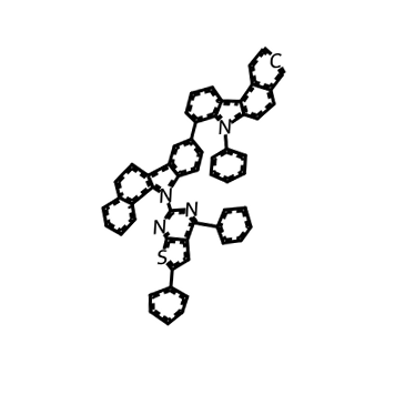 c1ccc(-c2cc3c(-c4ccccc4)nc(-n4c5ccc(-c6cccc7c8c9ccccc9ccc8n(-c8ccccc8)c67)cc5c5ccc6ccccc6c54)nc3s2)cc1